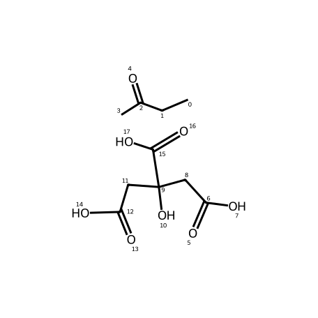 CCC(C)=O.O=C(O)CC(O)(CC(=O)O)C(=O)O